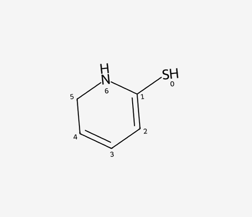 SC1=CC=CCN1